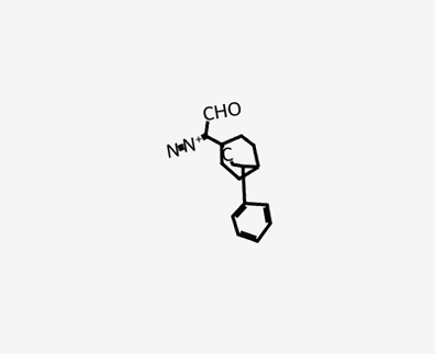 [N-]=[N+]=C(C=O)C12CCC(CC1)C(c1ccccc1)CC2